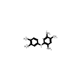 Cc1cc(N)c(Oc2ccc(N)c(N)c2)cc1N